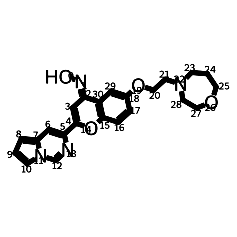 ON=c1cc(-c2cc3cccn3cn2)oc2ccc(OCCN3CCCOCC3)cc12